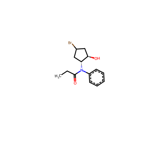 CCC(=O)N(c1ccccc1)[C@@H]1CC(Br)C[C@H]1O